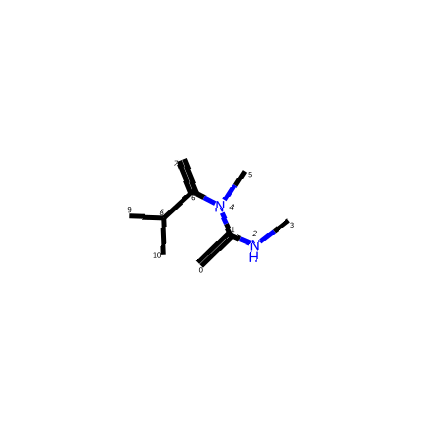 C=C(NC)N(C)C(=C)C(C)C